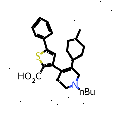 CCCCN1CCC(c2cc(-c3ccccc3)sc2C(=O)O)=C(C2CCC(C)CC2)C1